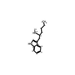 CCCCC(Cc1c[nH]c2ccccc12)NI